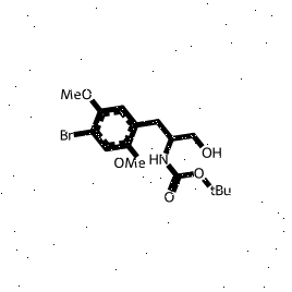 COc1cc(CC(CO)NC(=O)OC(C)(C)C)c(OC)cc1Br